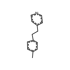 Cc1ccc(CCc2ccncc2)cc1